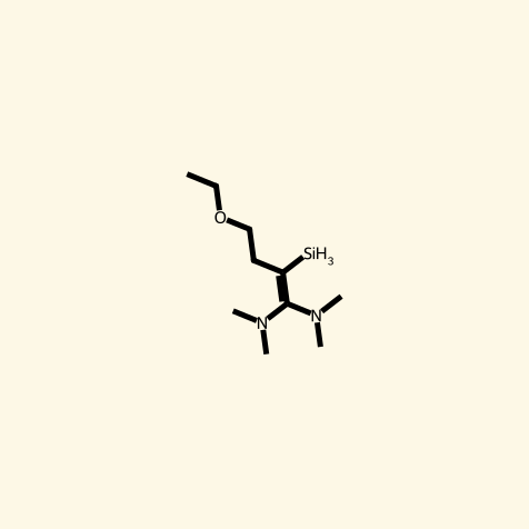 CCOCCC([SiH3])=C(N(C)C)N(C)C